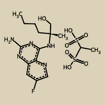 CC(S(=O)(=O)O)S(=O)(=O)O.CCCC[C@](C)(CO)Nc1nc(N)nc2cc(F)cnc12